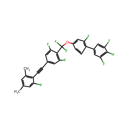 Cc1cc(C)c(C#Cc2cc(F)c(C(F)(F)Oc3ccc(-c4cc(F)c(F)c(F)c4)c(F)c3)c(F)c2)c(F)c1